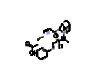 CN(C1CC2CC(C1C/C=C\CCCC(=O)O)C2(C)C)S(=O)(=O)C=Cc1ccccc1